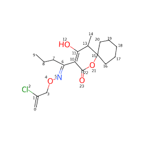 C=C(Cl)CON=C(CCC)C1=C(O)C(C)C2(CCCCC2)OC1=O